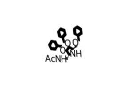 CC(=O)NC[C@H]1N[C@H](COCc2ccccc2)[C@@H](OCc2ccccc2)[C@@H]1OCc1ccccc1